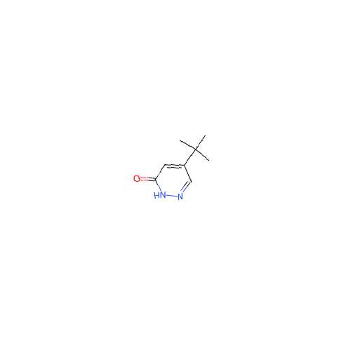 CC(C)(C)c1cn[nH]c(=O)c1